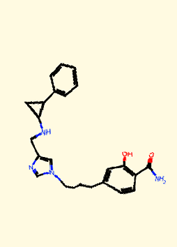 NC(=O)c1ccc(CCCn2cnc(CNC3CC3c3ccccc3)c2)cc1O